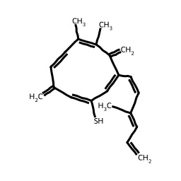 C=C/C=C(C)/C=C\c1cc(S)cc(=C)ccc(C)c(C)c1=C